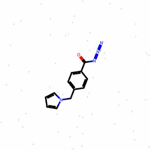 [N-]=[N+]=NC(=O)c1ccc(Cn2cccc2)cc1